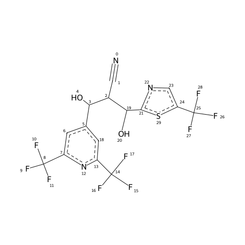 N#CC(C(O)c1cc(C(F)(F)F)nc(C(F)(F)F)c1)C(O)c1ncc(C(F)(F)F)s1